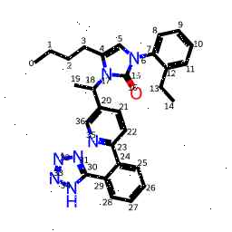 CCCCc1cn(-c2ccccc2CC)c(=O)n1C(C)c1ccc(-c2ccccc2-c2nnn[nH]2)nc1